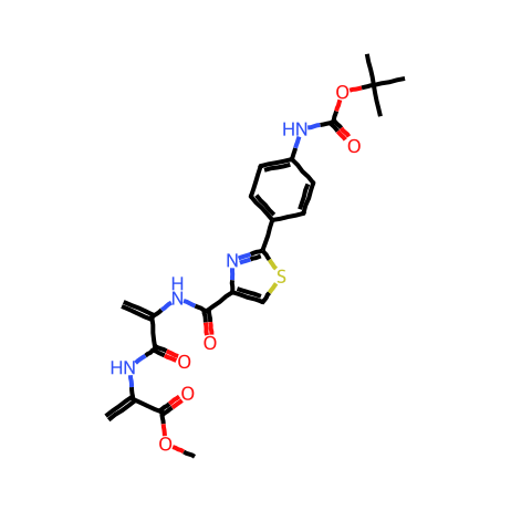 C=C(NC(=O)c1csc(-c2ccc(NC(=O)OC(C)(C)C)cc2)n1)C(=O)NC(=C)C(=O)OC